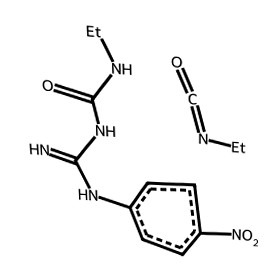 CCN=C=O.CCNC(=O)NC(=N)Nc1ccc([N+](=O)[O-])cc1